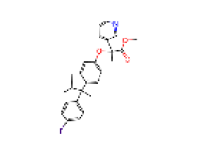 COC(=O)C(C)(Oc1ccc(C(C)(c2ccc(I)cc2)C(C)C)cc1)c1cccnc1